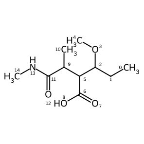 CCC(OC)C(C(=O)O)C(C)C(=O)NC